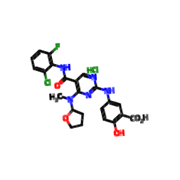 CN(c1nc(Nc2ccc(O)c(C(=O)O)c2)ncc1C(=O)Nc1c(F)cccc1Cl)C1CCCO1.Cl